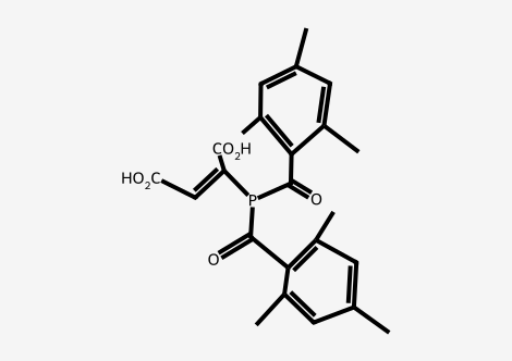 Cc1cc(C)c(C(=O)P(C(=O)c2c(C)cc(C)cc2C)/C(=C/C(=O)O)C(=O)O)c(C)c1